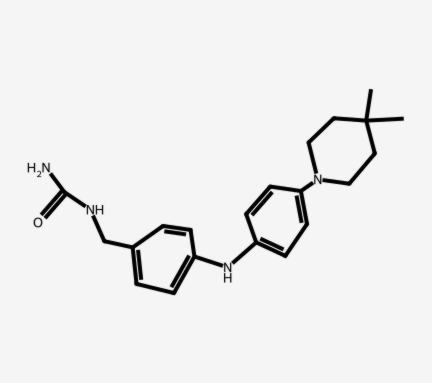 CC1(C)CCN(c2ccc(Nc3ccc(CNC(N)=O)cc3)cc2)CC1